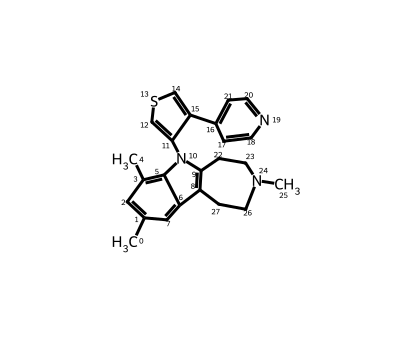 Cc1cc(C)c2c(c1)c1c(n2-c2cscc2-c2ccncc2)CCN(C)CC1